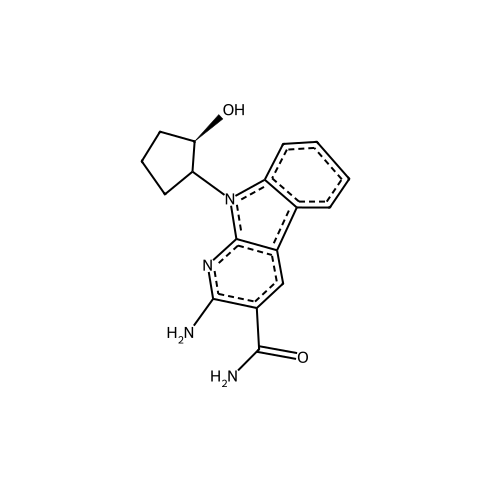 NC(=O)c1cc2c3ccccc3n(C3CCC[C@H]3O)c2nc1N